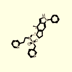 C[C@H]1C2=CNN(c3ccccc3)C2=CC2=C1[C@@H](CN(CCc1ccccn1)S(=O)(=O)Cc1cccnc1)CC2